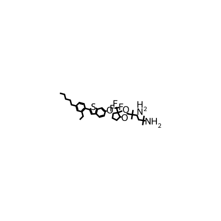 CCCCCc1ccc(-c2cc3ccc(OC4CCC(OC(=O)C(C)(C)C(N)CC(C)(C)N)C4(C)C(F)(F)F)cc3s2)c(CC)c1